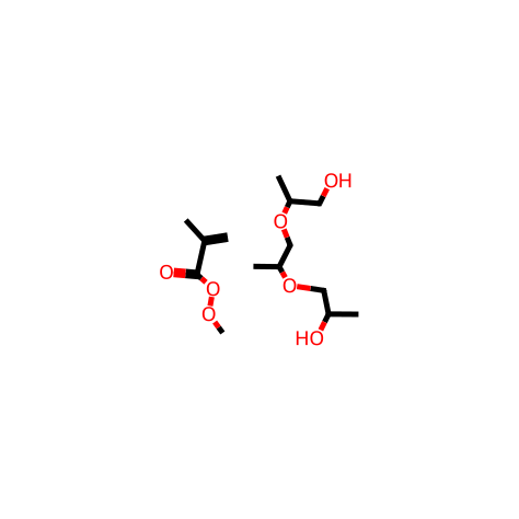 C=C(C)C(=O)OOC.CC(O)COC(C)COC(C)CO